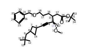 CO/N=C(\C#CC1CC(CC(C)(C)C)C1)C(CCCOCc1ccccc1)CC(=O)OC(C)(C)C